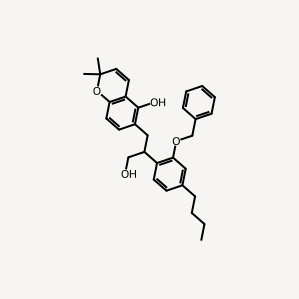 CCCCc1ccc(C(CO)Cc2ccc3c(c2O)C=CC(C)(C)O3)c(OCc2ccccc2)c1